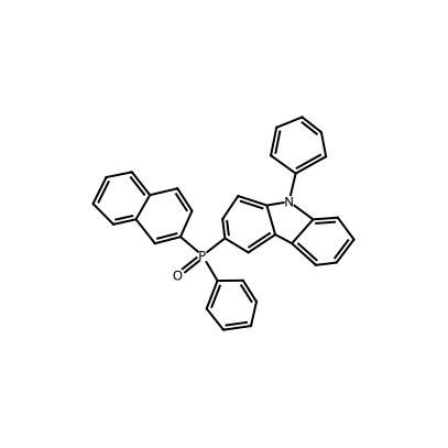 O=P(c1ccccc1)(c1ccc2ccccc2c1)c1ccc2c(c1)c1ccccc1n2-c1ccccc1